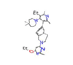 CCOc1cc(N2CCc3cc(-c4c(C)nc(C)c(CC)c4N4CCC(C)(C)CC4)ccc3C2)nc(C)n1